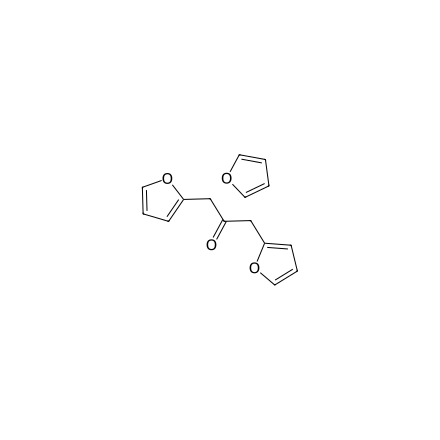 O=C(Cc1ccco1)Cc1ccco1.c1ccoc1